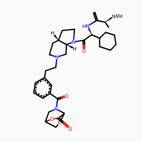 C=C(N[C@H](C(=O)N1CC[C@H]2CCN(CCc3cccc(C(=O)N4CC5CCC4C(=O)O5)c3)C[C@H]21)C1CCCCC1)[C@H](C)NC